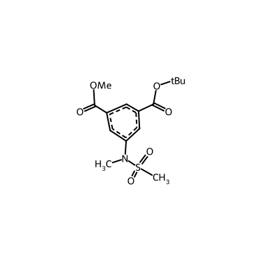 COC(=O)c1cc(C(=O)OC(C)(C)C)cc(N(C)S(C)(=O)=O)c1